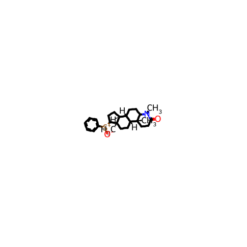 CN1C(=O)CC[C@@]2(C)C1CC[C@@H]1[C@H]2CC[C@]2(C)C([S+]([O-])c3ccccc3)CC[C@@H]12